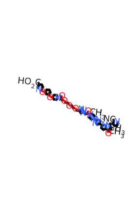 C[C@@H]1CN(c2ncc(-c3ccc4c(n3)N(Cc3cccnc3C#N)C(C)(C)C4=O)cn2)CCN1C(=O)Cn1cc(COCCOCCOCC(=O)N2CCC(Oc3cccc(Oc4ccc(C(=O)O)cn4)c3)CC2)nn1